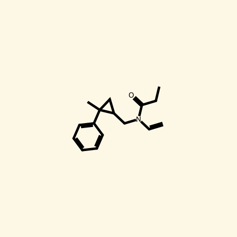 C=CN(CC1CC1(C)c1ccccc1)C(=O)CC